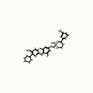 Cc1cc(OC[P]2(O)OCCC(c3cccc(Cl)c3)O2)cc(C)c1Cc1ccc(O)c(C2CCCCC2)n1